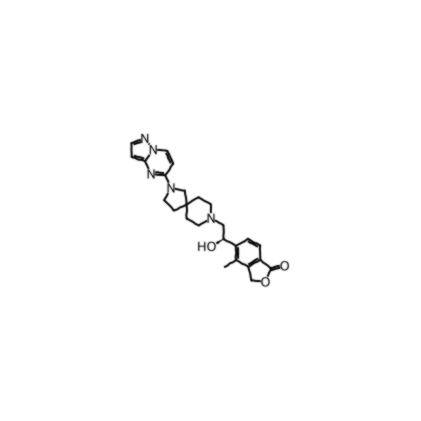 Cc1c([C@@H](O)CN2CCC3(CC2)CCN(c2ccn4nccc4n2)C3)ccc2c1COC2=O